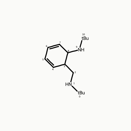 CC(C)(C)NCC1C=CC=CC1NC(C)(C)C